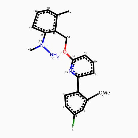 COc1cc(F)ccc1-c1cccc(OCc2c(C)cccc2N(C)N)n1